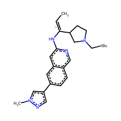 C/C=C(/Nc1cc2cc(-c3cnn(C)c3)ccc2cn1)C1CCN(CC(C)(C)C)C1